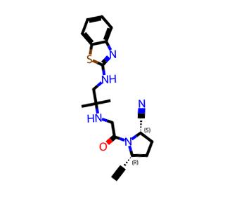 C#C[C@H]1CC[C@@H](C#N)N1C(=O)CNC(C)(C)CNc1nc2ccccc2s1